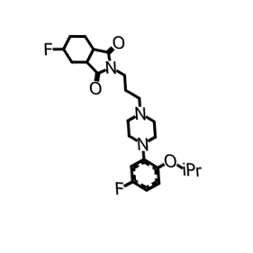 CC(C)Oc1ccc(F)cc1N1CCN(CCCN2C(=O)C3CCC(F)CC3C2=O)CC1